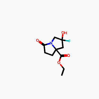 CCOC(=O)C12CCC(=O)N1CC(O)(F)C2